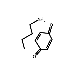 CCCCN.O=C1C=CC(=O)C=C1